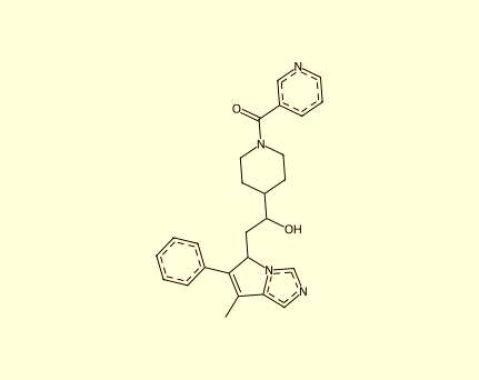 CC1=C(c2ccccc2)C(CC(O)C2CCN(C(=O)c3cccnc3)CC2)n2cncc21